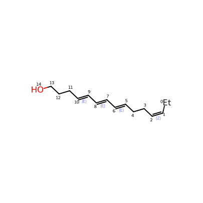 CC/C=C\CC/C=C/C=C/C=C/CCCO